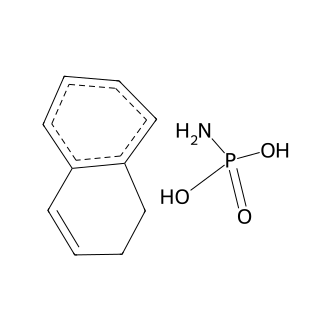 C1=Cc2ccccc2CC1.NP(=O)(O)O